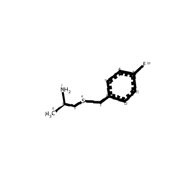 C[C@@H](N)CSCc1ccc(F)cc1